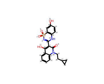 O=c1c(C2=NS(=O)(=O)c3cc(O)ccc3N2)c(O)c2ccccc2n1CCC1CC1